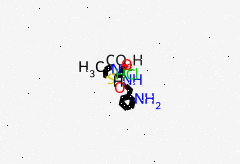 CC1=C(C(=O)O)N2C(=O)C(NC(=O)Cc3ccccc3N)[C@H]2SC1.Cl